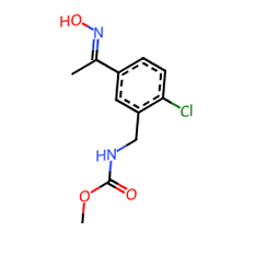 COC(=O)NCc1cc(/C(C)=N/O)ccc1Cl